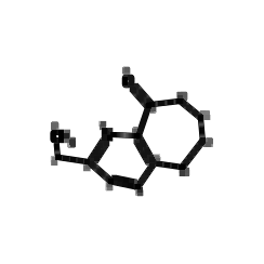 CCc1ccc2c(n1)C(=O)CCCC2